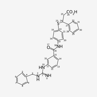 N=C(NCc1ccccc1)Nc1cccc(C(=O)Nc2ccc(SC(CC(=O)O)c3ccccc3)cc2)c1